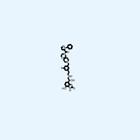 O=C(c1ccnn1-c1ccccc1)N1CCOC2(CCN(Cc3cc(F)cc(CCNC[C@H](O)c4ccc(O)c5[nH]c(=O)sc45)c3)CC2)C1